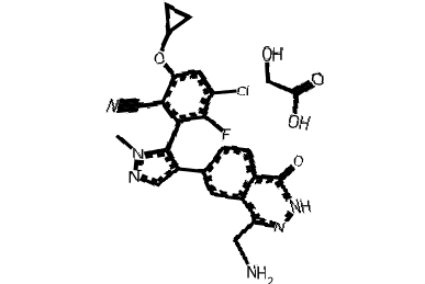 Cn1ncc(-c2ccc3c(=O)[nH]nc(CN)c3c2)c1-c1c(F)c(Cl)cc(OC2CC2)c1C#N.O=C(O)CO